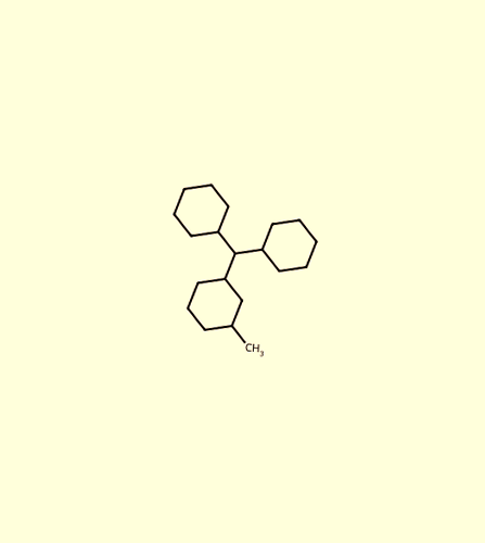 CC1CCCC(C(C2CCCCC2)C2CCCCC2)C1